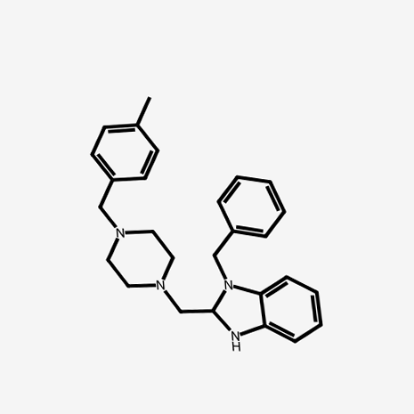 Cc1ccc(CN2CCN(CC3Nc4ccccc4N3Cc3ccccc3)CC2)cc1